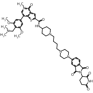 COc1cc(-c2cn(C)c(=O)c3cc(C(=O)NC4CCN(CCCCN5CCN(c6ccc7c(c6)C(=O)N(C6CCC(=O)NC6=O)C7=O)CC5)CC4)sc23)cc(OC)c1CN(C)C